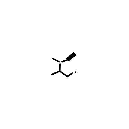 C#CN(C)C(C)CCCC